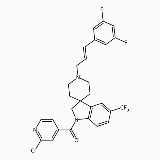 O=C(c1ccnc(Cl)c1)N1CC2(CCN(C/C=C/c3cc(F)cc(F)c3)CC2)c2cc(C(F)(F)F)ccc21